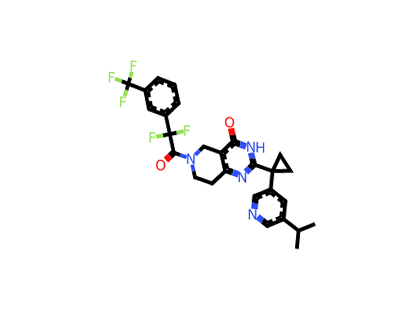 CC(C)c1cncc(C2(c3nc4c(c(=O)[nH]3)CN(C(=O)C(F)(F)c3cccc(C(F)(F)F)c3)CC4)CC2)c1